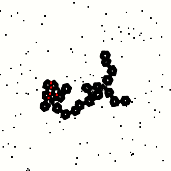 c1ccc(-c2ccc(-c3ccccc3N(c3ccc(-c4cccc(-c5ccc6cc(-c7ccc8c9ccccc9n(-c9ccccc9-c9ccc(N(c%10ccc(-c%11cccc(-c%12ccccc%12)c%11)cc%10)c%10ccc(-c%11cccc(-c%12ccc%13ccccc%13c%12)c%11)cc%10)cc9)c8c7)ccc6c5)c4)cc3)c3ccc(-c4ccccc4-n4c5ccccc5c5ccccc54)cc3)cc2)cc1